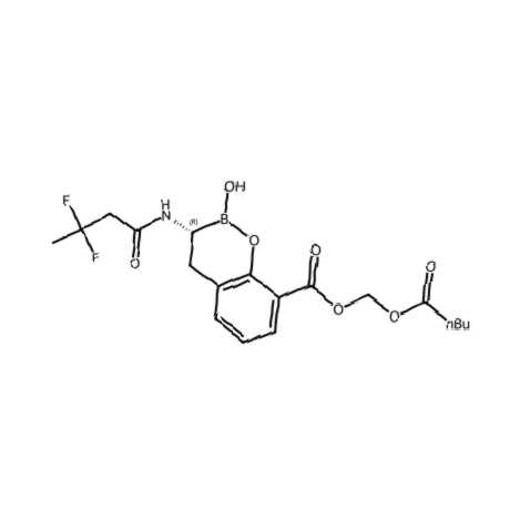 CCCCC(=O)OCOC(=O)c1cccc2c1OB(O)[C@@H](NC(=O)CC(C)(F)F)C2